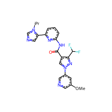 COc1cncc(-n2cc(C(=O)Nc3cccc(-c4cncn4C(C)C)n3)c(C(F)F)n2)c1